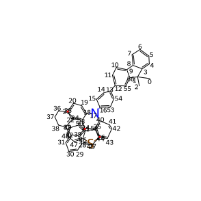 CC1(C)c2ccccc2-c2ccc(-c3ccc(N(c4ccccc4-c4cccc5cccc(C6CCCCC6)c45)c4cccc5sc6ccccc6c45)cc3)cc21